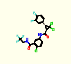 O=C(NCC(F)(F)F)c1cc(NC(=O)[C@H]2[C@H](c3ccc(F)c(F)c3)C2(Cl)Cl)ccc1Cl